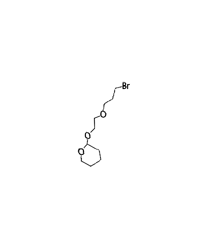 BrCCCOCCOC1CCCCO1